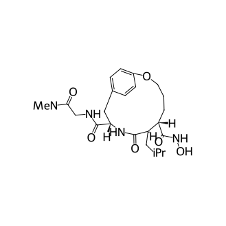 CNC(=O)CNC(=O)[C@@H]1Cc2ccc(cc2)OCCC[C@H](C(=O)NO)[C@@H](CC(C)C)C(=O)N1